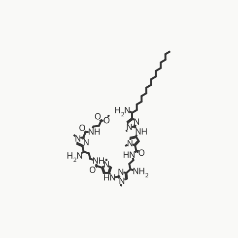 CCCCCCCCCCCCCCCC(N)c1cn(C)c(Nc2cc(C(=O)NCCC(N)c3cn(C)c(Nc4cc(C(=O)NCCC(N)c5cn(C)c(C(=O)NCCC(=O)OC)n5)n(C)c4)n3)n(C)c2)n1